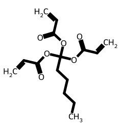 C=CC(=O)OC(CCCCC)(OC(=O)C=C)OC(=O)C=C